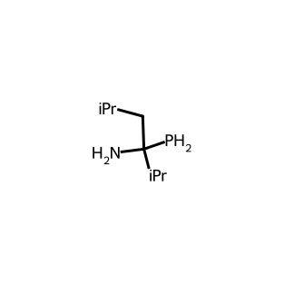 CC(C)CC(N)(P)C(C)C